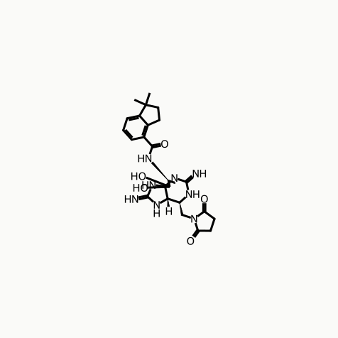 CC1(C)CCc2c(C(=O)N[C@H]3CN4C(=N)N[C@@H](CN5C(=O)CCC5=O)[C@@H]5NC(=N)NC54C3(O)O)cccc21